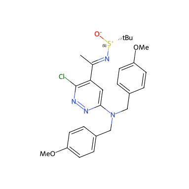 COc1ccc(CN(Cc2ccc(OC)cc2)c2cc(C(C)=N[S@+]([O-])C(C)(C)C)c(Cl)nn2)cc1